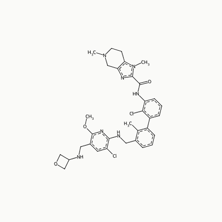 COc1nc(NCc2cccc(-c3cccc(NC(=O)c4nc5c(n4C)CCN(C)C5)c3Cl)c2C)c(Cl)cc1CNC1COC1